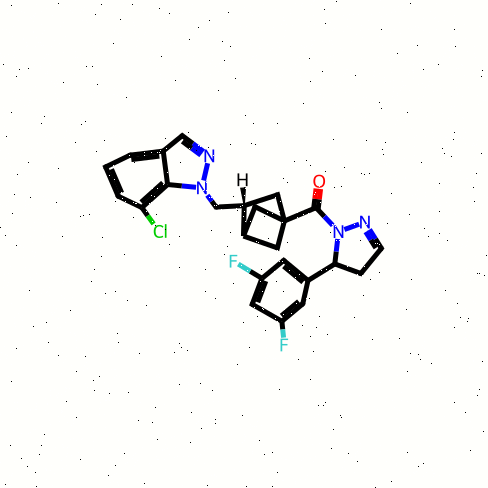 O=C(N1N=CCC1c1cc(F)cc(F)c1)C12CC(C1)[C@H](Cn1ncc3cccc(Cl)c31)C2